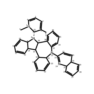 CC1=CC=CN(C)[C@H]1N1C2C=CC=CC2C2C3C=CC=CC3N(C3=NC4C=CC=CC4C=C3)c3ccccc3C21